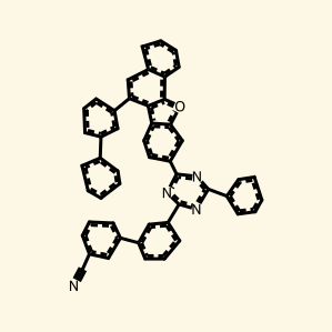 N#Cc1cccc(-c2cccc(-c3nc(-c4ccccc4)nc(-c4ccc5c(c4)oc4c6ccccc6cc(-c6cccc(-c7ccccc7)c6)c54)n3)c2)c1